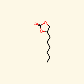 CCCCCCC1COC(=O)O1